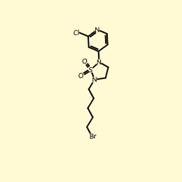 O=S1(=O)N(CCCCCBr)CCN1c1ccnc(Cl)c1